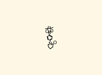 CC1(C)OB(c2ccc(N3CCCCC3=O)cc2)OC1(C)C